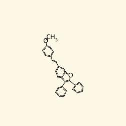 COc1ccc(/C=C/c2ccc3c(-c4ccccc4)c(-c4ccccc4)oc3c2)cc1